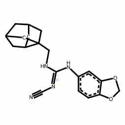 N#C/N=C(\NCC12CC3CC(CC1C3)C2)Nc1ccc2c(c1)OCO2